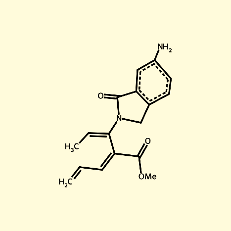 C=C/C=C(C(=O)OC)\C(=C/C)N1Cc2ccc(N)cc2C1=O